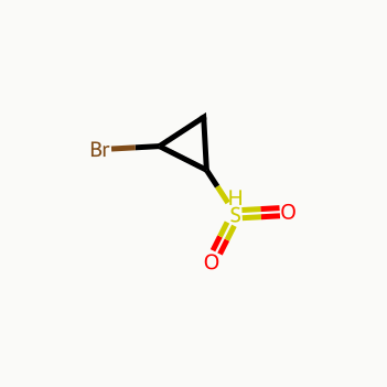 O=[SH](=O)C1CC1Br